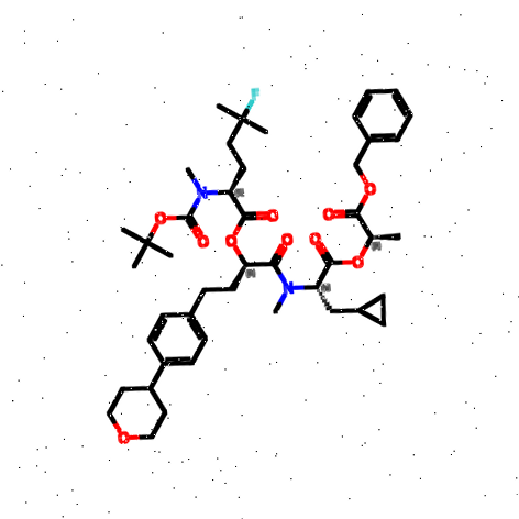 C[C@@H](OC(=O)[C@H](CC1CC1)N(C)C(=O)[C@@H](CCc1ccc(C2CCOCC2)cc1)OC(=O)[C@H](CCC(C)(C)F)N(C)C(=O)OC(C)(C)C)C(=O)OCc1ccccc1